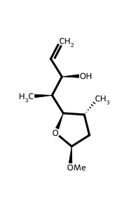 C=C[C@@H](O)[C@H](C)[C@@H]1O[C@H](OC)C[C@H]1C